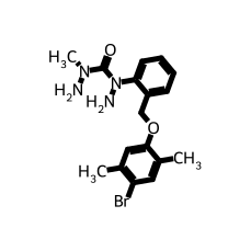 Cc1cc(OCc2ccccc2N(N)C(=O)N(C)N)c(C)cc1Br